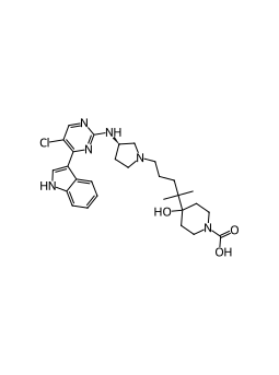 CC(C)(CCCN1CC[C@@H](Nc2ncc(Cl)c(-c3c[nH]c4ccccc34)n2)C1)C1(O)CCN(C(=O)O)CC1